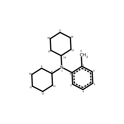 Cc1ccccc1N(C1CCCCC1)C1CCCCC1